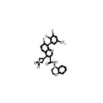 O=C(NN1CCOc2ccccc21)c1cnc2c(-c3cc(C(F)(F)F)cc(F)c3F)c(F)ccc2c1C1CS(=O)(=O)C1